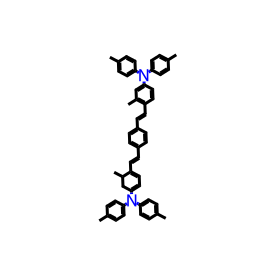 Cc1ccc(N(C2=CC=C(C=Cc3ccc(C=Cc4ccc(N(c5ccc(C)cc5)c5ccc(C)cc5)cc4C)cc3)C(C)C2)c2ccc(C)cc2)cc1